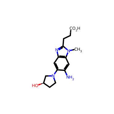 Cn1c(CCC(=O)O)nc2cc(N3CC[C@@H](O)C3)c(N)cc21